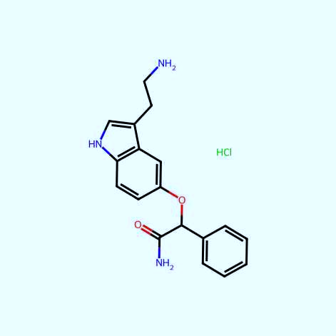 Cl.NCCc1c[nH]c2ccc(OC(C(N)=O)c3ccccc3)cc12